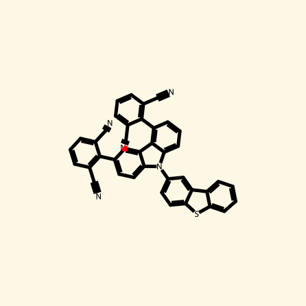 N#Cc1cccc(C#N)c1-c1ccc2c(c1)c1c(-c3c(C#N)cccc3C#N)cccc1n2-c1ccc2sc3ccccc3c2c1